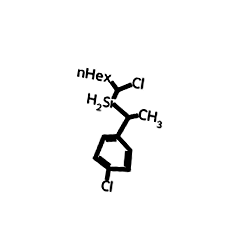 CCCCCCC(Cl)[SiH2]C(C)c1ccc(Cl)cc1